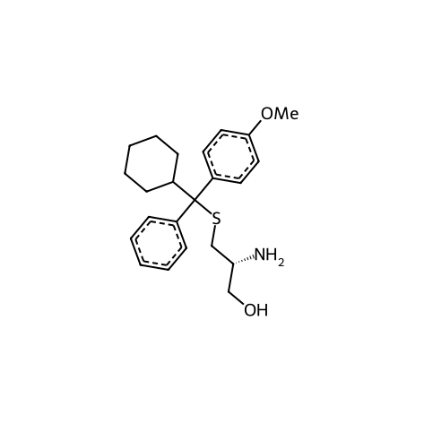 COc1ccc(C(SC[C@H](N)CO)(c2ccccc2)C2CCCCC2)cc1